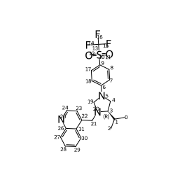 CC(C)[C@@H]1CN(c2ccc(S(=O)(=O)C(F)(F)F)cc2)CN1Cc1ccnc2ccccc12